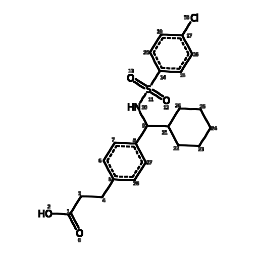 O=C(O)CCc1ccc(C(NS(=O)(=O)c2ccc(Cl)cc2)C2CCCCC2)cc1